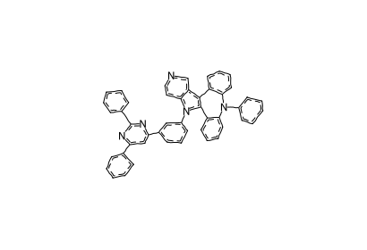 c1ccc(-c2cc(-c3cccc(-n4c5c(c6cnccc64)-c4ccccc4N(c4ccccc4)c4ccccc4-5)c3)nc(-c3ccccc3)n2)cc1